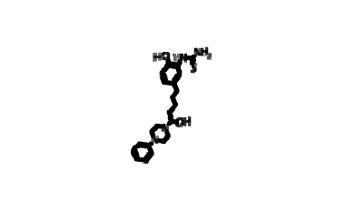 NC(=S)Nc1cc(CCCCC(O)N2CCN(c3ccccc3)CC2)ccc1O